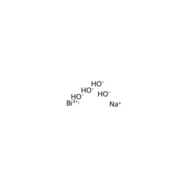 [Bi+3].[Na+].[OH-].[OH-].[OH-].[OH-]